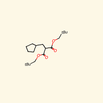 CC(C)(C)COC(=O)C(CC1CCCC1)C(=O)OCC(C)(C)C